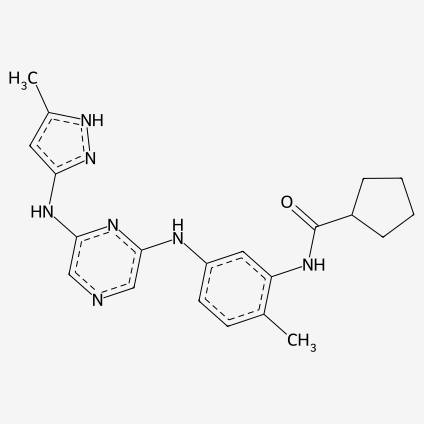 Cc1cc(Nc2cncc(Nc3ccc(C)c(NC(=O)C4CCCC4)c3)n2)n[nH]1